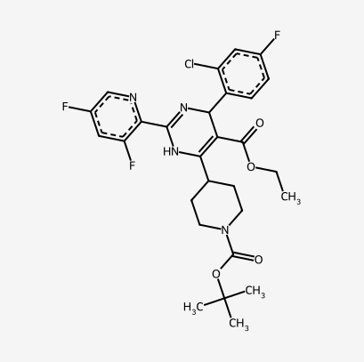 CCOC(=O)C1=C(C2CCN(C(=O)OC(C)(C)C)CC2)NC(c2ncc(F)cc2F)=NC1c1ccc(F)cc1Cl